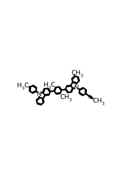 CC#Cc1ccc(-n2c3ccc(C)cc3c3cc(-c4cc(C)c(-c5ccc6c(c5)c5ccccc5n6-c5ccc(C)cc5)cc4C)ccc32)cc1